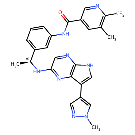 Cc1cc(C(=O)Nc2cccc([C@H](C)Nc3cnc4[nH]cc(-c5cnn(C)c5)c4n3)c2)cnc1C(F)(F)F